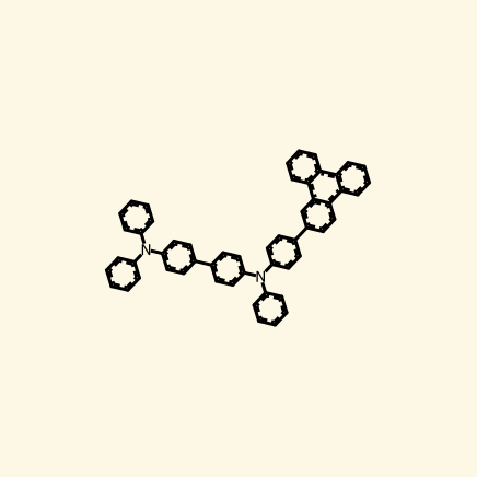 c1ccc(N(c2ccccc2)c2ccc(-c3ccc(N(c4ccccc4)c4ccc(-c5ccc6c7ccccc7c7ccccc7c6c5)cc4)cc3)cc2)cc1